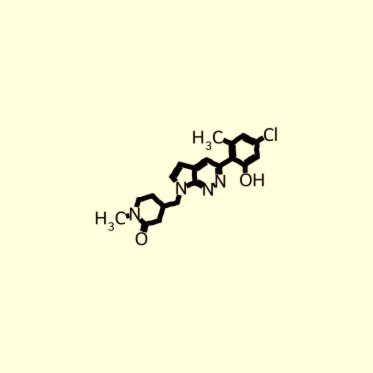 Cc1cc(Cl)cc(O)c1-c1cc2ccn(CC3CCN(C)C(=O)C3)c2nn1